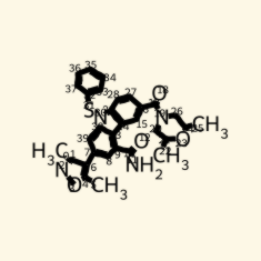 Cc1noc(C)c1-c1cc(C(N)=O)c2c3cc(C(=O)N4CC(C)OC(C)C4)ccc3n(Sc3ccccc3)c2c1